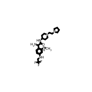 CNc1cc(NCC(F)(F)F)ccc1C(N)C(=O)NC1CCN(CCN2CCCC2)CC1